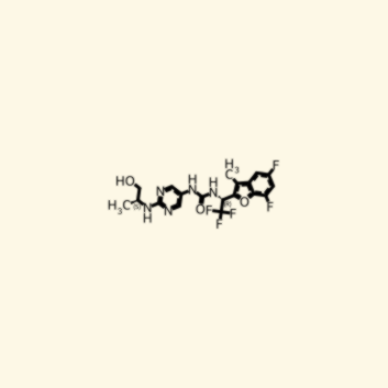 Cc1c([C@@H](NC(=O)Nc2cnc(N[C@@H](C)CO)nc2)C(F)(F)F)oc2c(F)cc(F)cc12